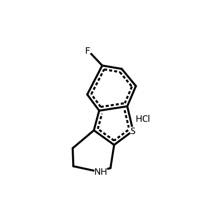 Cl.Fc1ccc2sc3c(c2c1)CCNC3